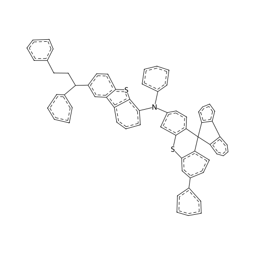 c1ccc(CCC(c2ccccc2)c2ccc3sc4c(N(c5ccccc5)c5ccc6c(c5)Sc5cc(-c7ccccc7)ccc5C65c6ccccc6-c6ccccc65)cccc4c3c2)cc1